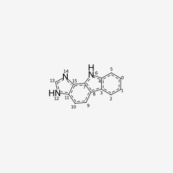 c1ccc2c(c1)[nH]c1c2ccc2[nH]cnc21